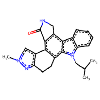 CC(C)Cn1c2ccccc2c2c3c(c4c(c21)CCc1nn(C)cc1-4)C(=O)NC3